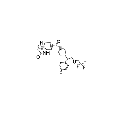 O=C1CO[C@H]2CCN(C(=O)N3CCC(C(COCC(F)(F)F)c4ccc(F)cc4)CC3)CC2N1